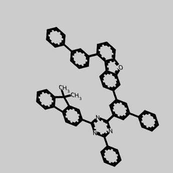 CC1(C)c2ccccc2-c2ccc(-c3nc(-c4ccccc4)nc(-c4cc(-c5ccccc5)cc(-c5ccc6c(c5)oc5cccc(-c7cccc(-c8ccccc8)c7)c56)c4)n3)cc21